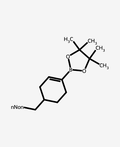 CCCCCCCCCCC1CC=C(B2OC(C)(C)C(C)(C)O2)CC1